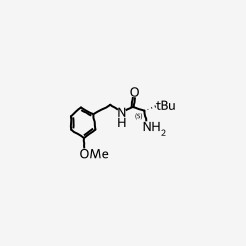 COc1cccc(CNC(=O)[C@@H](N)C(C)(C)C)c1